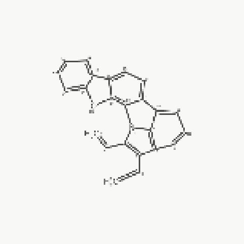 C=Cc1c(C=C)n2c3c1cccc3c1ccc3c4ccccc4oc3c12